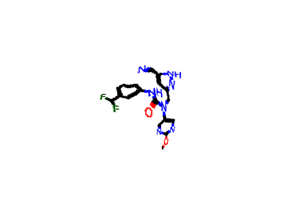 COc1ncc(N(Cc2cc(C#N)[nH]n2)C(=O)Nc2cccc(C(F)F)c2)cn1